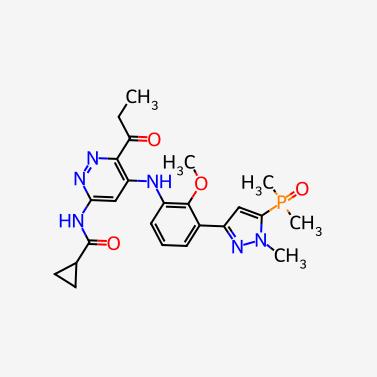 CCC(=O)c1nnc(NC(=O)C2CC2)cc1Nc1cccc(-c2cc(P(C)(C)=O)n(C)n2)c1OC